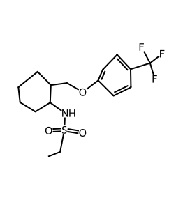 CCS(=O)(=O)NC1CCCCC1COc1ccc(C(F)(F)F)cc1